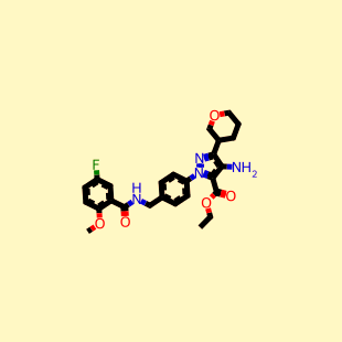 CCOC(=O)c1c(N)c(C2CCCOC2)nn1-c1ccc(CNC(=O)c2cc(F)ccc2OC)cc1